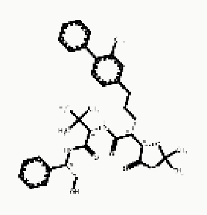 Cc1cc(CCC[C@@H](C(=O)N[C@H](C(=O)N[C@H](CO)c2ccccc2)C(C)(C)C)[C@@H]2OC(C)(C)OC2=O)ccc1-c1ccccc1